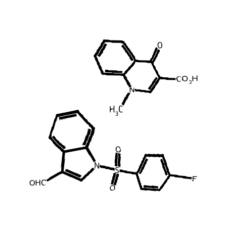 Cn1cc(C(=O)O)c(=O)c2ccccc21.O=Cc1cn(S(=O)(=O)c2ccc(F)cc2)c2ccccc12